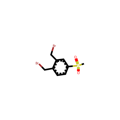 CS(=O)(=O)c1ccc(CBr)c(CBr)c1